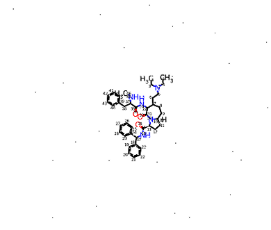 CCN(CC)CCC1CC[C@H]2CC[C@@H](C(=O)NC(c3ccccc3)c3ccccc3)N2C(=O)C1NC(=O)C(Cc1ccccc1)NC